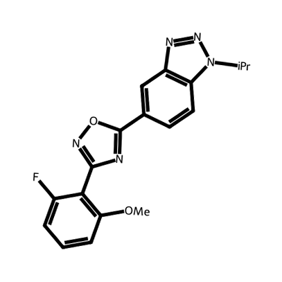 COc1cccc(F)c1-c1noc(-c2ccc3c(c2)nnn3C(C)C)n1